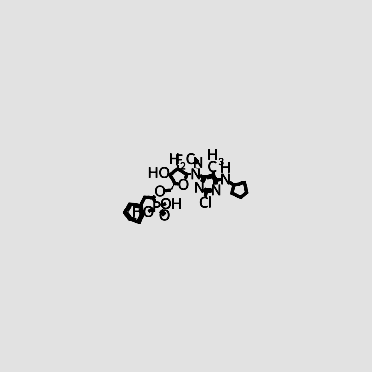 C=NN(c1nc(Cl)nc(NC2CCCC2)c1C)[C@@H]1O[C@H](COC(Cc2ccccc2)P(=O)(O)O)[C@@H](O)[C@@H]1F